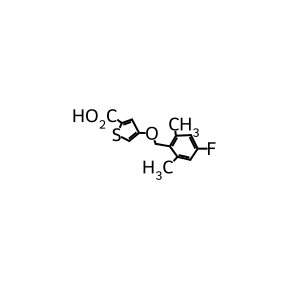 Cc1cc(F)cc(C)c1COc1csc(C(=O)O)c1